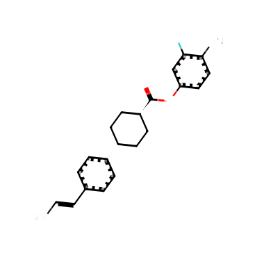 CCC/C=C/c1ccc([C@H]2CC[C@H](C(=O)Oc3ccc(C#N)c(F)c3)CC2)cc1